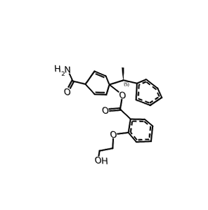 C[C@@H](c1ccccc1)C1(OC(=O)c2ccccc2OCCO)C=CC(C(N)=O)C=C1